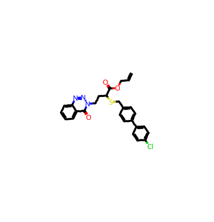 C=CCOC(=O)C(CCn1nnc2ccccc2c1=O)SCc1ccc(-c2ccc(Cl)cc2)cc1